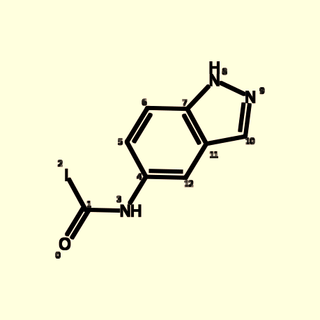 O=C(I)Nc1ccc2[nH]ncc2c1